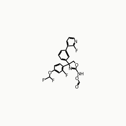 O=CONC1=NC(c2cccc(-c3cccnc3F)c2)(c2ccc(OC(F)F)cc2F)CO1